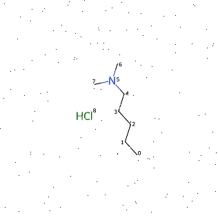 CC[CH]CCN(C)C.Cl